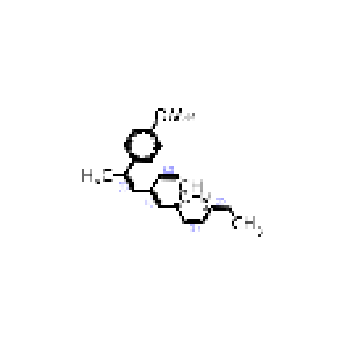 C=C(/C=C\C=C/C)/C=C(\C=C/C)/C=C(/C)c1ccc(OC)cc1